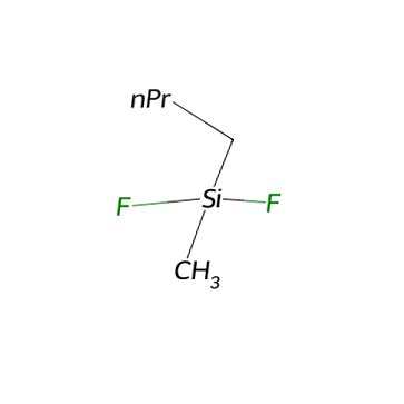 CCCC[Si](C)(F)F